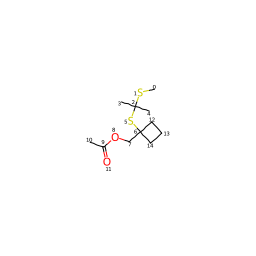 CSC(C)(C)SC1(COC(C)=O)CCC1